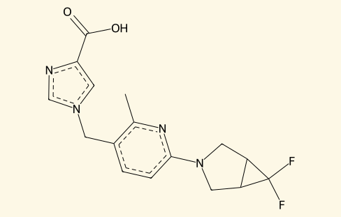 Cc1nc(N2CC3C(C2)C3(F)F)ccc1Cn1cnc(C(=O)O)c1